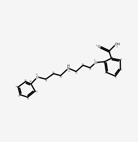 O=C(O)c1ccccc1OCCCNCCCOc1ccccc1